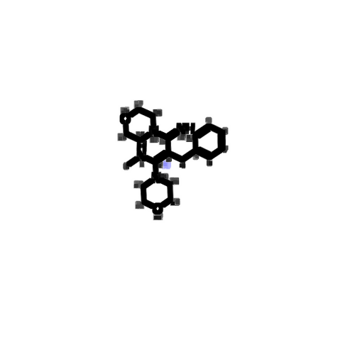 CN/C(=C(/Cc1ccccc1)C(=N)N1CCOCC1)N1CCOCC1